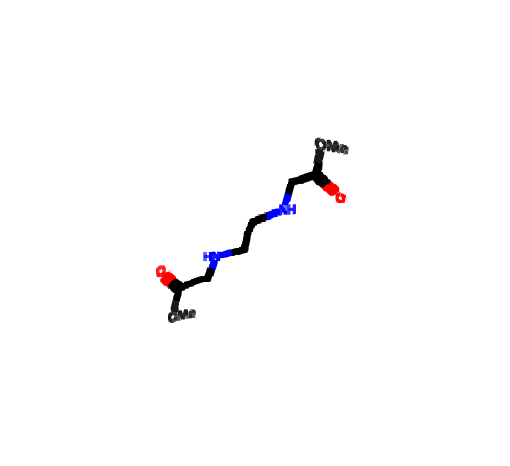 COC(=O)CNCCNCC(=O)OC